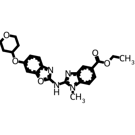 CCOC(=O)c1ccc2c(c1)nc(Nc1nc3ccc(OC4CCOCC4)cc3o1)n2C